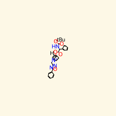 CC(C)(C)OC(=O)NC(C(=O)O[C@H]1C[N+]2(Cc3noc(-c4ccccc4)n3)CCC1CC2)c1ccccc1